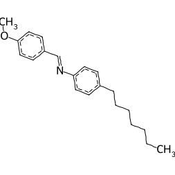 CCCCCCCc1ccc(N=Cc2ccc(OC)cc2)cc1